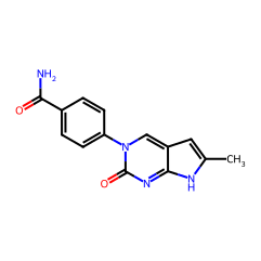 Cc1cc2cn(-c3ccc(C(N)=O)cc3)c(=O)nc2[nH]1